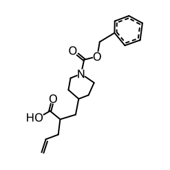 C=CCC(CC1CCN(C(=O)OCc2ccccc2)CC1)C(=O)O